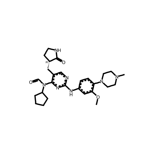 COc1cc(Nc2ncc(C[C@@H]3CCNC3=O)c(N(C=O)C3CCCC3)n2)ccc1N1CCN(C)CC1